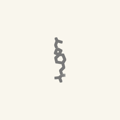 CC(C)CN1CC2(CCC(CCNC(C)C)CC2)C1